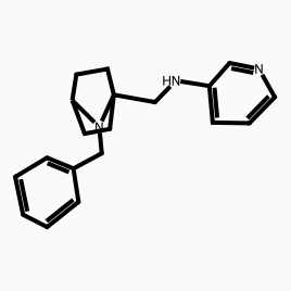 c1ccc(CN2C3CCC2(CNc2cccnc2)CC3)cc1